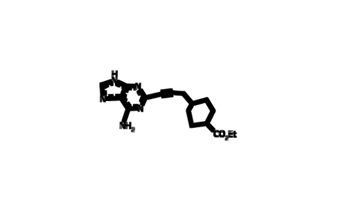 CCOC(=O)C1CCC(CC#Cc2nc(N)c3nc[nH]c3n2)CC1